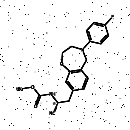 CC(C)(C)OC(=O)N[C@H](C#N)Cc1ccc2c(c1)OCCN(c1ccc(F)cc1)C2